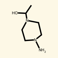 CC(O)N1CCN(N)CC1